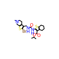 CC(C)OC(=O)c1c(NC(=O)NCc2c(Br)sc3c2CCN(C)C3)sc2c1CCCC2